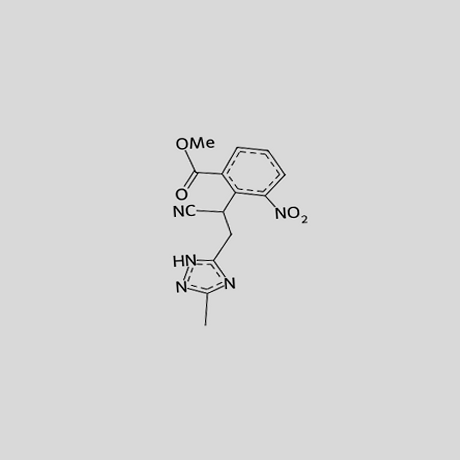 COC(=O)c1cccc([N+](=O)[O-])c1C(C#N)Cc1nc(C)n[nH]1